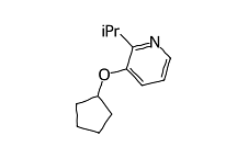 CC(C)c1ncccc1OC1CCCC1